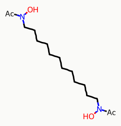 CC(=O)N(O)CCCCCCCCCCCCN(O)C(C)=O